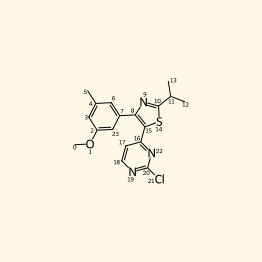 COc1cc(C)cc(-c2nc(C(C)C)sc2-c2ccnc(Cl)n2)c1